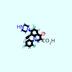 C#Cc1c(N2CCNCC2)c(F)cc2c(=O)c(C(=O)O)cn(-c3ccc(F)cc3F)c12